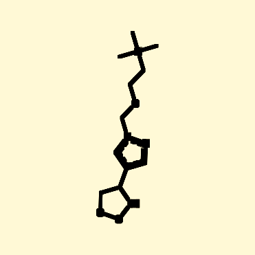 C[Si](C)(C)CCOCn1cc(C2BOOC2)cn1